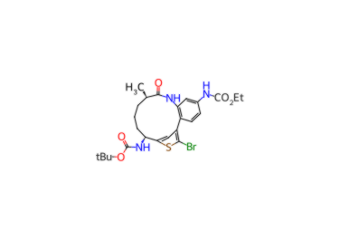 CCOC(=O)Nc1ccc2c(c1)NC(=O)[C@H](C)CCC[C@H](NC(=O)OC(C)(C)C)c1cc-2c(Br)s1